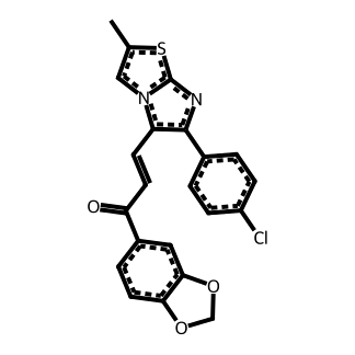 Cc1cn2c(C=CC(=O)c3ccc4c(c3)OCO4)c(-c3ccc(Cl)cc3)nc2s1